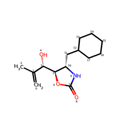 C=C(C)[C@H](O)[C@@H]1OC(=O)N[C@H]1CC1CCCCC1